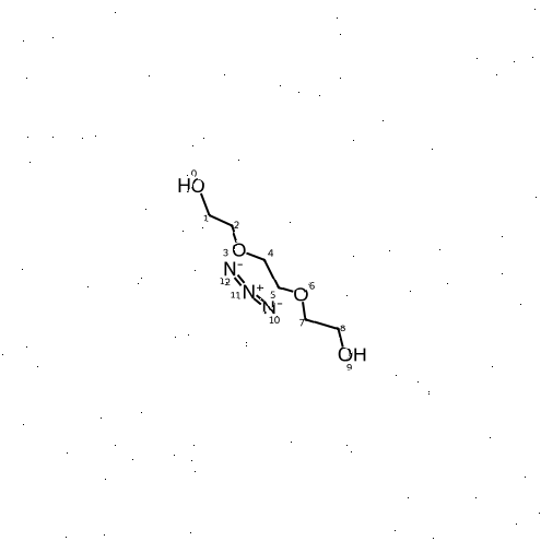 OCCOCCOCCO.[N-]=[N+]=[N-]